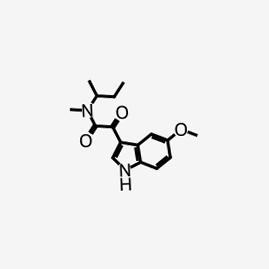 CCC(C)N(C)C(=O)C(=O)c1c[nH]c2ccc(OC)cc12